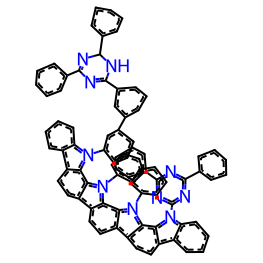 c1ccc(C2=NC(c3ccccc3)NC(c3cccc(-c4cccc(-n5c6ccccc6c6ccc7c8ccc9c%10ccc%11c%12ccccc%12n(-c%12nc(-c%13ccccc%13)nc(-c%13ccccc%13)n%12)c%11c%10n(-c%10ccccc%10)c9c8n(-c8ccccc8)c7c65)c4)c3)=N2)cc1